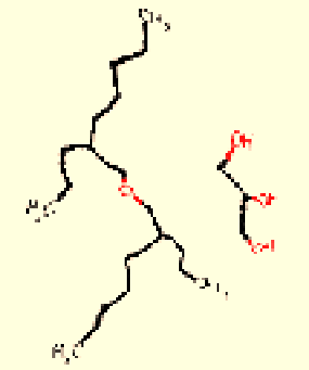 CCCCCC(CCC)COCC(CCC)CCCCC.OCC(O)CO